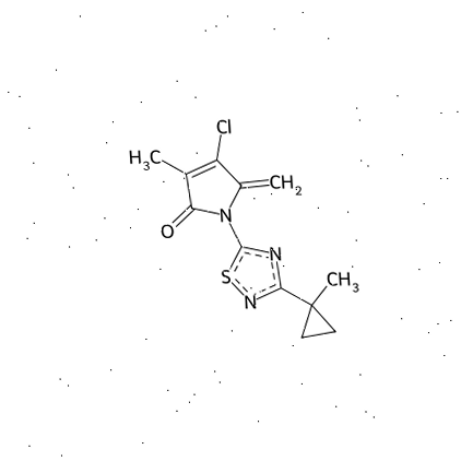 C=C1C(Cl)=C(C)C(=O)N1c1nc(C2(C)CC2)ns1